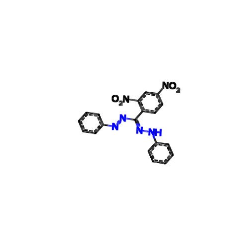 O=[N+]([O-])c1ccc(C(/N=N/c2ccccc2)=N\Nc2ccccc2)c([N+](=O)[O-])c1